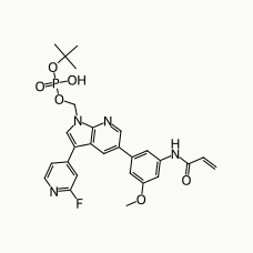 C=CC(=O)Nc1cc(OC)cc(-c2cnc3c(c2)c(-c2ccnc(F)c2)cn3COP(=O)(O)OC(C)(C)C)c1